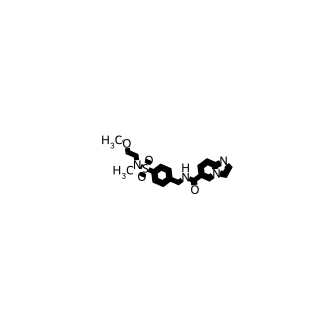 COCCN(C)S(=O)(=O)c1ccc(CNC(=O)c2ccc3nccn3c2)cc1